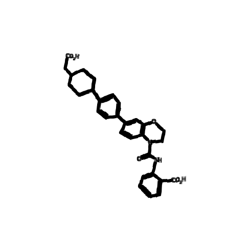 O=C(O)CC1CCC(c2ccc(-c3ccc4c(c3)OCCN4C(=O)Nc3ccccc3C(=O)O)cc2)CC1